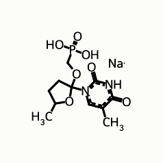 Cc1cn(C2(OCP(=O)(O)O)CCC(C)O2)c(=O)[nH]c1=O.[Na]